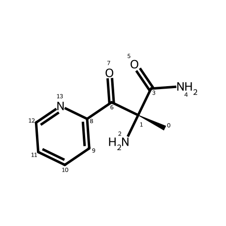 C[C@](N)(C(N)=O)C(=O)c1ccccn1